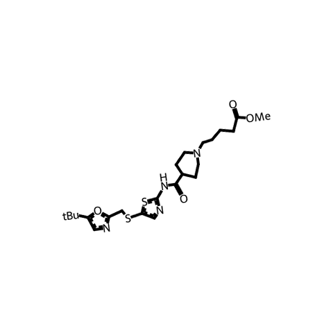 COC(=O)CCCCN1CCC(C(=O)Nc2ncc(SCc3ncc(C(C)(C)C)o3)s2)CC1